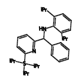 CC(C)c1cccc(C(C)C)c1NC(c1ccccc1)c1cccc(S(C(C)C)(C(C)C)C(C)C)n1